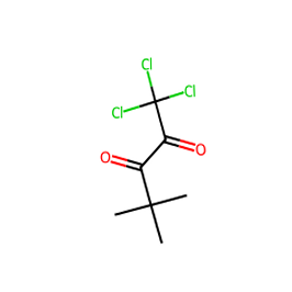 CC(C)(C)C(=O)C(=O)C(Cl)(Cl)Cl